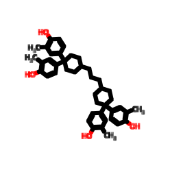 Cc1cc(C2(c3ccc(O)c(C)c3)CCC(CCCC3CCC(c4ccc(O)c(C)c4)(c4ccc(O)c(C)c4)CC3)CC2)ccc1O